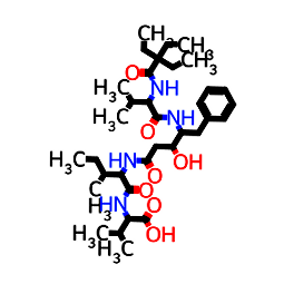 CCC(C)C(NC(=O)CC(O)C(Cc1ccccc1)NC(=O)C(NC(=O)C(CC)(CC)CC)C(C)C)C(=O)NC(C(=O)O)C(C)C